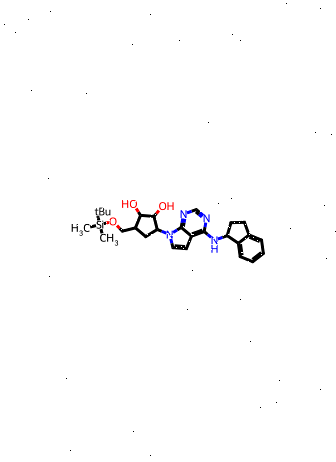 CC(C)(C)[Si](C)(C)OCC1CC(n2ccc3c(NC4CCc5ccccc54)ncnc32)C(O)C1O